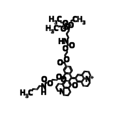 CCCCNC(=O)OCCOC(=O)c1cc(C(=O)OCCOC(=O)NCCC[Si](OCC)(OCC)OCC)ccc1C1=c2cc3c4c(c2Oc2c1cc1c5c2CCCN5CCC1)CCC[N+]=4CCC3